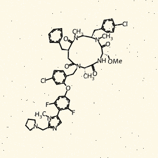 COC[C@@H]1NC(=O)[C@H](C)N(Cc2ccc(Cl)cc2Oc2cc(F)c(-c3cnc(CN4CCCC4)n3C)c(F)c2)C(=O)C[C@@H](Cc2ccccc2)C(=O)N(C)C[C@@H](Cc2ccc(Cl)cc2)N(C)C1=O